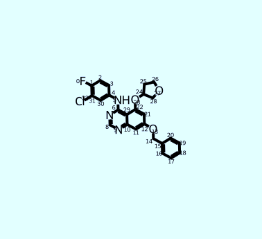 Fc1ccc(Nc2ncnc3cc(OCc4ccccc4)cc(OC4CCOC4)c23)cc1Cl